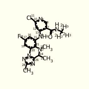 [2H]C([2H])([2H])NC(=O)c1cnc(Cl)cc1Nc1cc(F)cc2c1N(C)C(C)c1nc(C)nn1-2